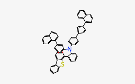 c1cc(-c2cccc3ccccc23)cc(N(c2ccc(-c3ccc(-c4cccc5ccccc45)cc3)cc2)c2ccccc2-c2cccc3c2sc2ccccc23)c1